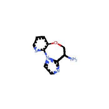 NC1COc2cccnc2-n2ccnc21